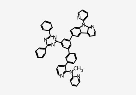 CN(c1ccccn1)c1ncccc1-c1cccc(-c2cc(-c3ccc4c(c3)c3cccnc3n4-c3ccccn3)cc(-c3nc(-c4ccccc4)nc(-c4ccccc4)n3)c2)c1